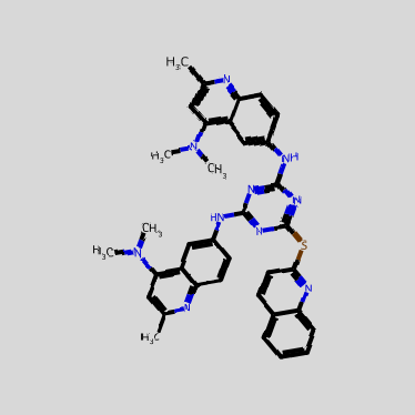 Cc1cc(N(C)C)c2cc(Nc3nc(Nc4ccc5nc(C)cc(N(C)C)c5c4)nc(Sc4ccc5ccccc5n4)n3)ccc2n1